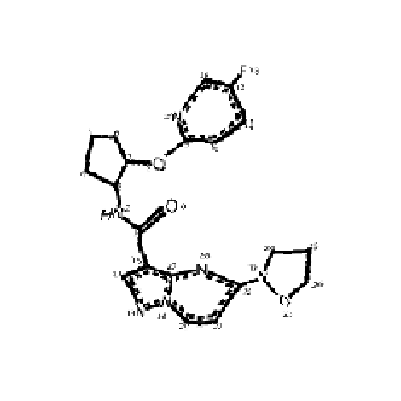 O=C(NC1CCCC1Oc1ccc(F)cn1)c1cnn2ccc(N3CCCO3)nc12